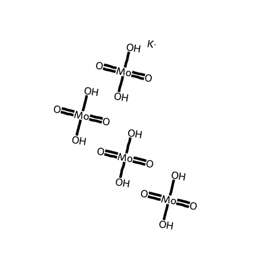 [K].[O]=[Mo](=[O])([OH])[OH].[O]=[Mo](=[O])([OH])[OH].[O]=[Mo](=[O])([OH])[OH].[O]=[Mo](=[O])([OH])[OH]